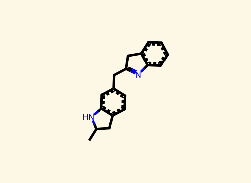 CC1Cc2ccc(CC3=Nc4ccccc4C3)cc2N1